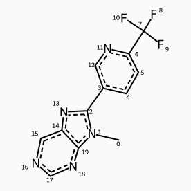 Cn1c(-c2ccc(C(F)(F)F)nc2)nc2cncnc21